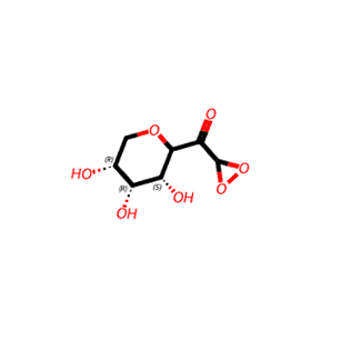 O=C([C]1OC[C@@H](O)[C@@H](O)[C@H]1O)C1OO1